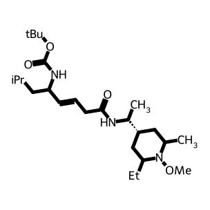 CCC1C[C@H](C(C)NC(=O)C/C=C/C(CC(C)C)NC(=O)OC(C)(C)C)CC(C)N1OC